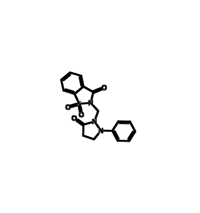 O=C1CCN(c2ccccc2)N1CN1C(=O)c2ccccc2S1(=O)=O